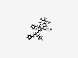 CC(C)C[C@H](NC(=O)[C@H](CC(=O)O)NC(=O)[C@H](CC1CCCCC1)NC(=O)[C@H](CCC(N)=O)NC(=O)/C=C/c1cccnc1)C(=O)N[C@@H](C)C(=O)OI